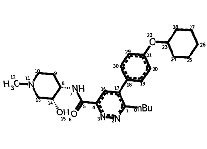 CCCCc1nnc(C(=O)N[C@H]2CCN(C)C[C@H]2O)cc1-c1ccc(OC2CCCCC2)cc1